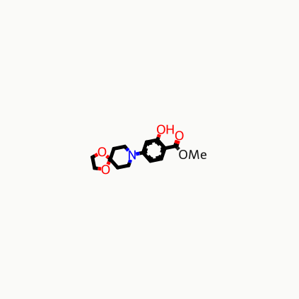 COC(=O)c1ccc(N2CCC3(CC2)OCCO3)cc1O